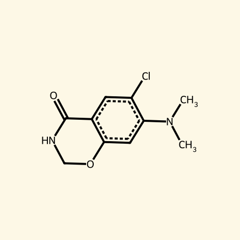 CN(C)c1cc2c(cc1Cl)C(=O)NCO2